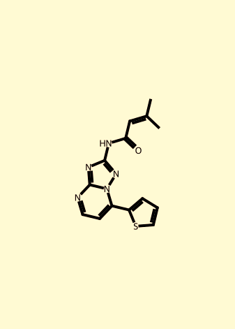 CC(C)=CC(=O)Nc1nc2nccc(-c3cccs3)n2n1